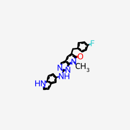 Cn1c(=O)c(Cc2ccc(F)cc2)cc2cnc(Nc3ccc4[nH]ccc4c3)nc21